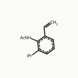 C=Cc1cccc(C(C)C)c1NC(C)=O